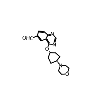 O=Cc1ccc2ncnc(O[C@H]3CC[C@H](N4CCOCC4)CC3)c2c1